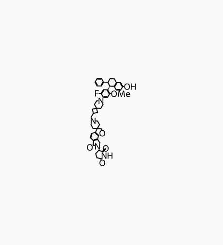 COc1cc(N2CCC3(CC2)CC(CN2CCC4(CC2)COc2c4ccc4c2CN([C@H]2CCC(=O)NC2=O)C4=O)C3)c(F)cc1[C@@H]1c2ccc(O)cc2CC[C@@H]1c1ccccc1